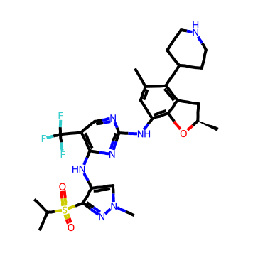 Cc1cc(Nc2ncc(C(F)(F)F)c(Nc3cn(C)nc3S(=O)(=O)C(C)C)n2)c2c(c1C1CCNCC1)C[C@@H](C)O2